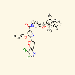 COc1cc(C(=O)N(C)CCO[Si](C)(C)C(C)(C)C)cnc1-c1cc2ncc(F)c(Cl)c2o1